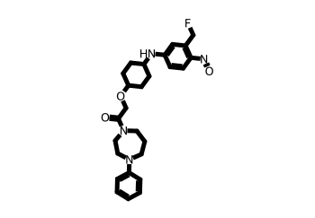 O=Nc1ccc(NC2CCC(OCC(=O)N3CCCN(c4ccccc4)CC3)CC2)cc1CF